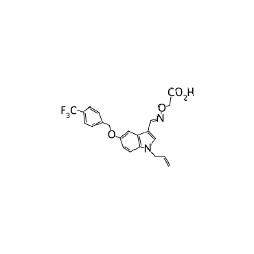 C=CCn1cc(/C=N/OCC(=O)O)c2cc(OCc3ccc(C(F)(F)F)cc3)ccc21